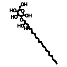 CCCCCCCCCCCCCCCCNCC(O)CO[C@@H]1[C@@H](O)[C@@H](O)[C@@H](CO)O[C@H]1O